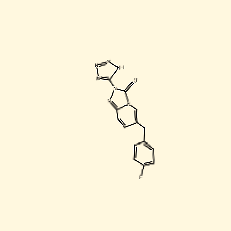 O=c1n(-c2nnn[nH]2)nc2ccc(Cc3ccc(F)cc3)cn12